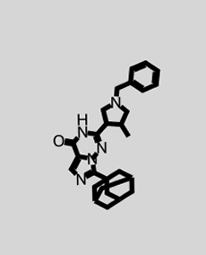 CC1CN(Cc2ccccc2)CC1c1nn2c(C34CC5CC(CC(C5)C3)C4)ncc2c(=O)[nH]1